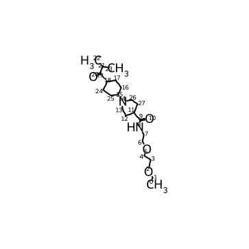 CCOCCOCCNC(=O)C1CCN([C@H]2CC[C@H](C(=O)C(C)C)CC2)CC1